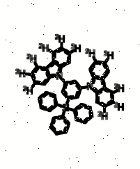 [2H]c1cc2c3c([2H])c([2H])c([2H])cc3n(-c3cc(-n4c5cc([2H])c([2H])c([2H])c5c5c([2H])c([2H])c([2H])cc54)cc([Si](c4ccccc4)(c4ccccc4)c4ccccc4)c3)c2cc1[2H]